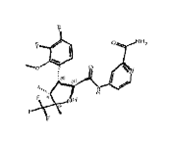 COc1c([C@@H]2[C@@H](C(=O)Nc3ccnc(C(N)=O)c3)N[C@](C)(C(F)(F)F)[C@@H]2C)ccc(F)c1F